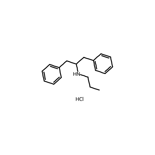 CCCNC(Cc1ccccc1)Cc1ccccc1.Cl